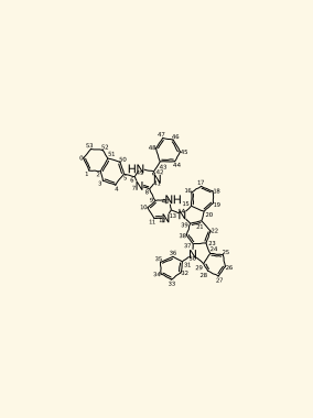 C1=Cc2ccc(C3N=C(C4=CC=NC(n5c6ccccc6c6cc7c8ccccc8n(-c8ccccc8)c7cc65)N4)N=C(c4ccccc4)N3)cc2CC1